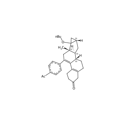 CCCCOC12C[C@@H]1C[C@H]1[C@@H]3CCC4=C(CCC(=O)C4)C3=C(c3ccc(C(C)=O)cc3)C[C@@]12C